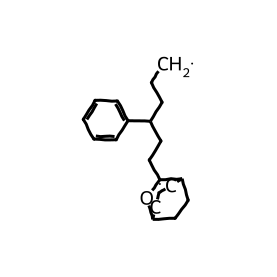 [CH2]CCC(CC[C]1OC2CCCC1CC2)c1ccccc1